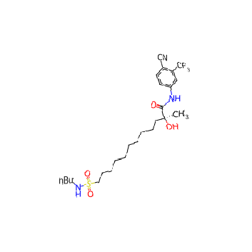 CCCCNS(=O)(=O)CCCCCCCCCC[C@](C)(O)C(=O)Nc1ccc(C#N)c(C(F)(F)F)c1